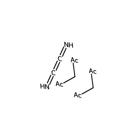 CC(=O)CC(C)=O.CC(=O)CC(C)=O.N=C=C=N